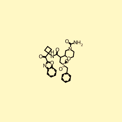 NC(=O)N1CCOC(C(CS(=O)(=O)Cc2ccccc2)C(=O)NC2(C(=O)c3nc4ccccc4o3)CCC2)C1